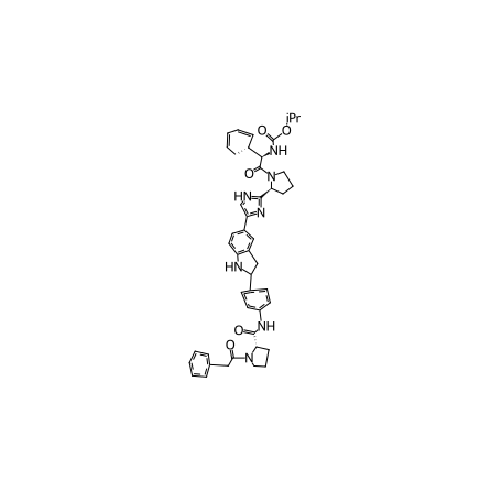 CC(C)OC(=O)N[C@@H](C(=O)N1CCC[C@H]1c1nc(-c2ccc3c(c2)CC(c2ccc(NC(=O)[C@@H]4CCCN4C(=O)Cc4ccccc4)cc2)N3)c[nH]1)[C@H]1C=CC=CC1